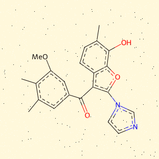 COc1cc(C(=O)c2c(-n3ccnc3)oc3c(O)c(C)ccc23)cc(C)c1C